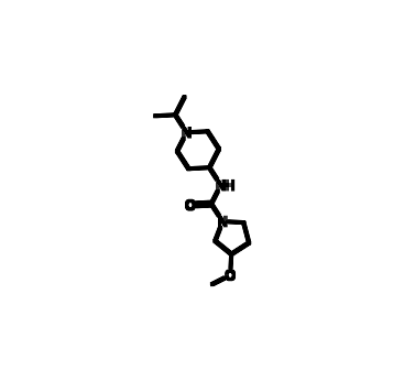 COC1CCN(C(=O)NC2CCN(C(C)C)CC2)C1